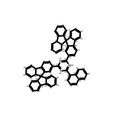 C1=CC2c3ccccc3C3(c4ccccc4-c4ccc(-c5nc(-c6ccc7c(c6)C6(c8ccccc8-c8ccccc86)C6C=CC=CC76)nc(-c6cccc7ccccc67)n5)cc43)C2C=C1